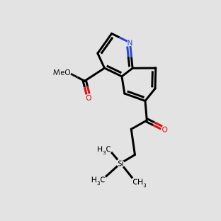 COC(=O)c1ccnc2ccc(C(=O)CC[Si](C)(C)C)cc12